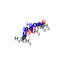 BC1(N2CCN(c3ccc(Nc4cc(-c5ccnc(-n6ccn7c8c(cc7c6=O)CC(C)(C)C8)c5CO)cn(C)c4=O)nc3)[C@@H](C)C2)COC1